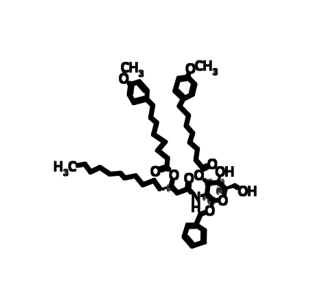 CCCCCCCCCCC[C@@H](CC(=O)N[C@H]1[C@H](OCc2ccccc2)O[C@H](CO)[C@@H](O)[C@@H]1OC(=O)CCCCCCCc1ccc(OC)cc1)OC(=O)CCCCCCCc1ccc(OC)cc1